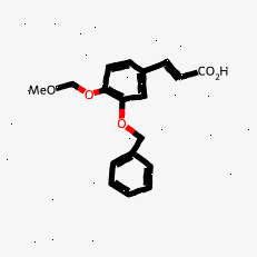 COCOc1ccc(/C=C/C(=O)O)cc1OCc1ccccc1